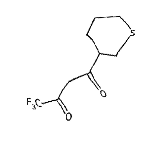 O=C(CC(=O)C(F)(F)F)C1CCCSC1